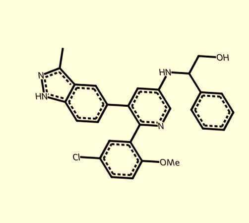 COc1ccc(Cl)cc1-c1ncc(NC(CO)c2ccccc2)cc1-c1ccc2[nH]nc(C)c2c1